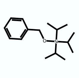 CC(C)[Si](OCc1ccccc1)(C(C)C)C(C)C